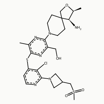 Cc1nc(N2CCC3(CC2)CO[C@@H](C)[C@H]3N)c(CO)nc1Sc1ccnc(N2CC(CS(C)(=O)=O)C2)c1Cl